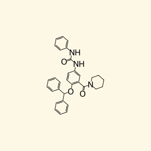 O=C(Nc1ccccc1)Nc1ccc(OC(c2ccccc2)c2ccccc2)c(C(=O)N2CCCCC2)c1